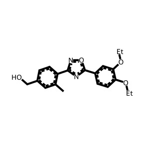 CCOc1ccc(-c2nc(-c3ccc(CO)cc3C)no2)cc1OCC